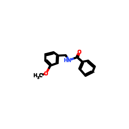 COc1cccc(CNC(=O)c2cc[c]cc2)c1